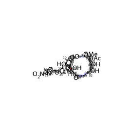 CO[C@H]1/C=C/O[C@@]2(C)Oc3c(C)c(O)c4c(O)c(c5nc(-c6ccc(OCC7Cn8cc([N+](=O)[O-])nc8O7)cc6)[nH]c5c4c3C2=O)NC(=O)/C(C)=C\C=C\[C@H](C)[C@H](O)[C@@H](C)[C@@H](O)[C@@H](C)[C@H](OC(C)=O)[C@@H]1C